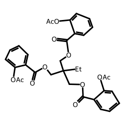 CCC(COC(=O)c1ccccc1OC(C)=O)(COC(=O)c1ccccc1OC(C)=O)COC(=O)c1ccccc1OC(C)=O